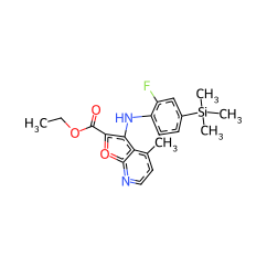 CCOC(=O)c1oc2nccc(C)c2c1Nc1ccc([Si](C)(C)C)cc1F